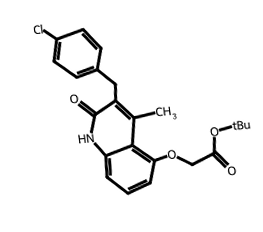 Cc1c(Cc2ccc(Cl)cc2)c(=O)[nH]c2cccc(OCC(=O)OC(C)(C)C)c12